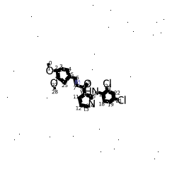 COc1ccc(/C=C/C(=O)c2cccnc2Nc2ccc(Cl)cc2Cl)cc1OC